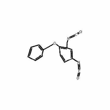 O=C=Nc1ccc(Oc2ccccc2)c(N=C=O)c1